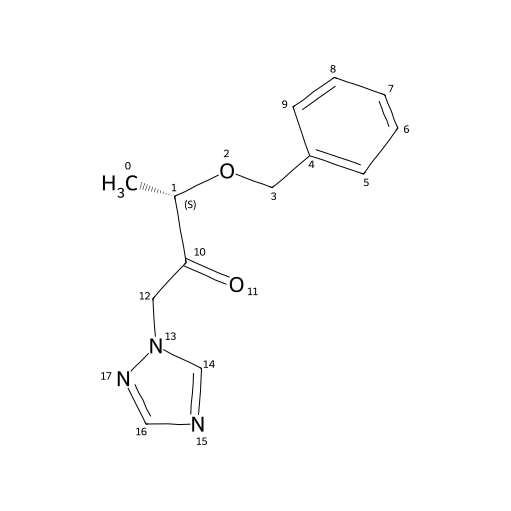 C[C@H](OCc1ccccc1)C(=O)Cn1cncn1